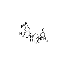 Cc1cc(C(F)(F)F)ncc1N1C[C@]2(CC[C@](c3cccc(Cl)c3)(N(C)C)CC2)NC1O